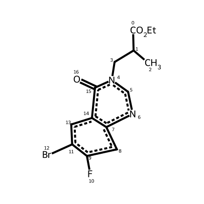 CCOC(=O)C(C)Cn1cnc2cc(F)c(Br)cc2c1=O